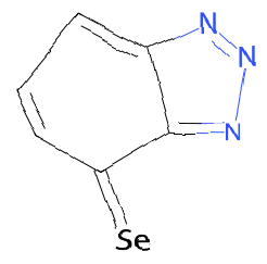 [Se]=C1C=CC=C2N=NN=C12